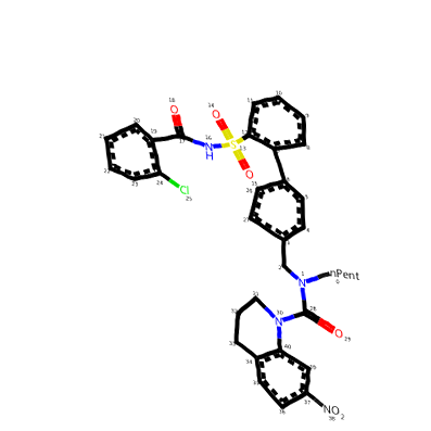 CCCCCN(Cc1ccc(-c2ccccc2S(=O)(=O)NC(=O)c2ccccc2Cl)cc1)C(=O)N1CCCc2ccc([N+](=O)[O-])cc21